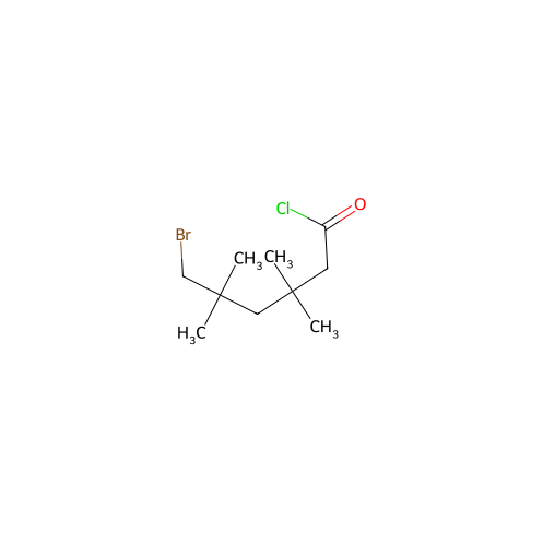 CC(C)(CBr)CC(C)(C)CC(=O)Cl